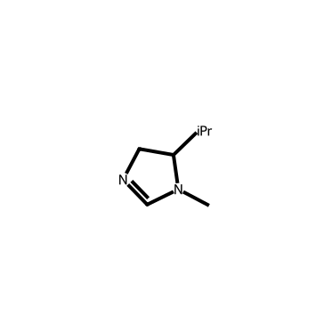 CC(C)C1CN=CN1C